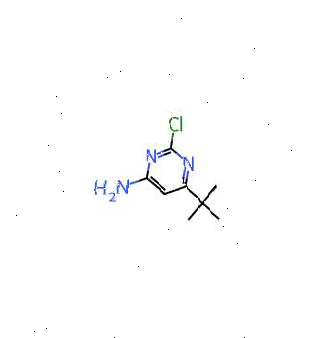 CC(C)(C)c1cc(N)nc(Cl)n1